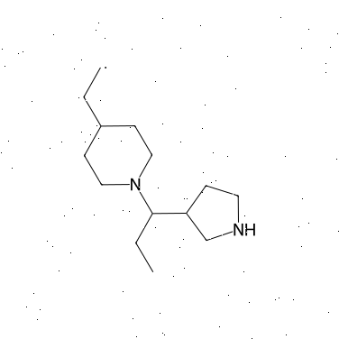 [CH2]CC1CCN(C(CC)C2CCNC2)CC1